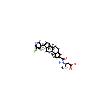 C[C@@H](CC(=O)O)NC(=O)c1ccc2c(c1)CC[C@@H]1[C@@H]2CC[C@]2(C)C(c3cncc(F)c3)=CC[C@@H]12